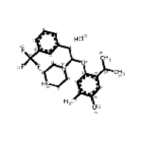 Cc1cc(OC(Cc2cccc(C(F)(F)F)c2)N2CCNCC2)c(C(C)C)cc1O.Cl